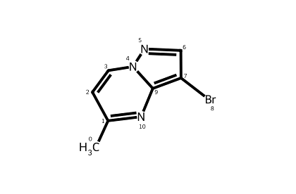 Cc1ccn2ncc(Br)c2n1